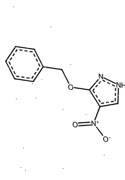 O=[N+]([O-])c1c[nH]nc1OCc1ccccc1